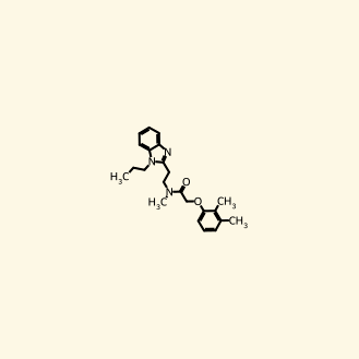 CCCn1c(CCN(C)C(=O)COc2cccc(C)c2C)nc2ccccc21